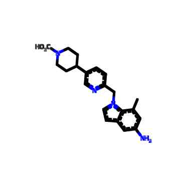 Cc1cc(N)cc2ccn(Cc3ccc(C4CCN(C(=O)O)CC4)cn3)c12